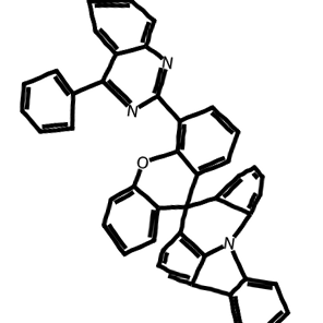 c1ccc(-c2nc(-c3cccc4c3Oc3ccccc3C43c4ccccc4-n4c5ccccc5c5cccc3c54)nc3ccccc23)cc1